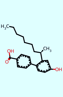 CCCCCCC[C@@H](C)c1cc(O)ccc1-c1ccc(C(=O)O)cc1